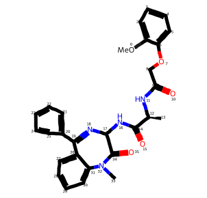 COc1ccccc1OCC(=O)N[C@@H](C)C(=O)NC1N=C(c2ccccc2)c2ccccc2N(C)C1=O